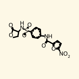 O=C(Nc1ccc(S(=O)(=O)NC2CCOC2=O)cc1)c1ccc([N+](=O)[O-])o1